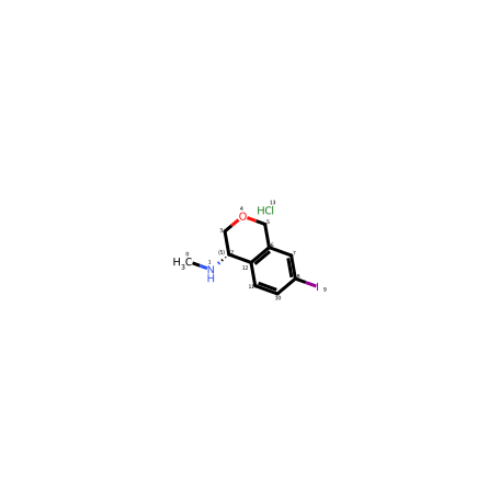 CN[C@@H]1COCc2cc(I)ccc21.Cl